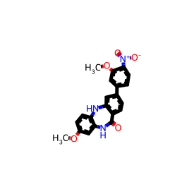 COc1ccc2c(c1)NC(=O)c1ccc(-c3ccc([N+](=O)[O-])c(OC)c3)cc1N2